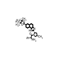 CC(C)[C@H](N)C(=O)N1C[C@@H](C)C[C@H]1c1nc2ccc3cc(B4OC(C)(C)C(C)(C)O4)ccc3c2[nH]1